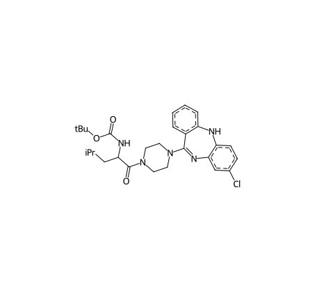 CC(C)CC(NC(=O)OC(C)(C)C)C(=O)N1CCN(C2=Nc3cc(Cl)ccc3Nc3ccccc32)CC1